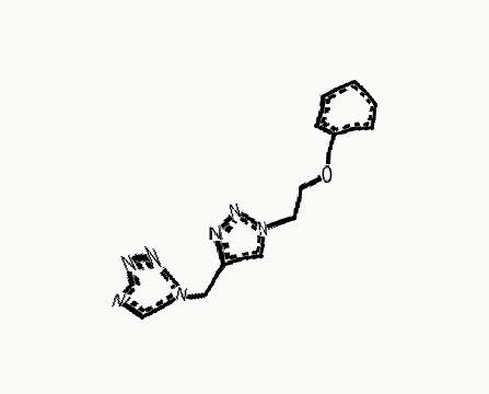 c1ccc(OCCn2cc(Cn3cnnn3)nn2)cc1